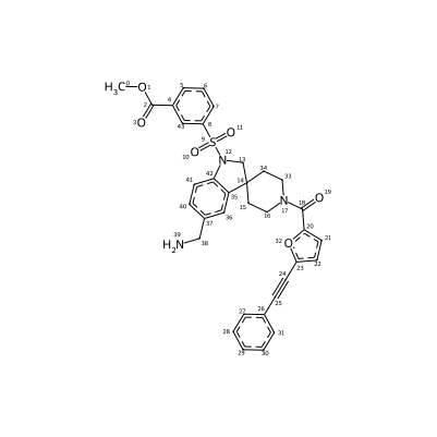 COC(=O)c1cccc(S(=O)(=O)N2CC3(CCN(C(=O)c4ccc(C#Cc5ccccc5)o4)CC3)c3cc(CN)ccc32)c1